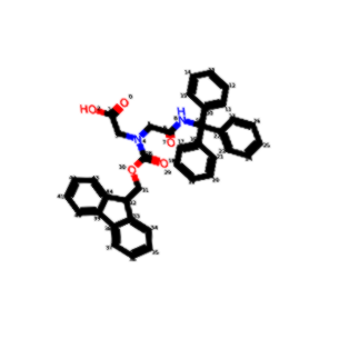 O=C(O)CN(CC(=O)NC(c1ccccc1)(c1ccccc1)c1ccccc1)C(=O)OCC1c2ccccc2-c2ccccc21